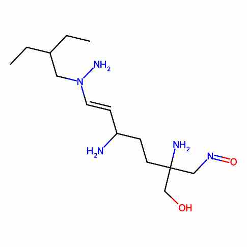 CCC(CC)CN(N)C=CC(N)CCC(N)(CO)CN=O